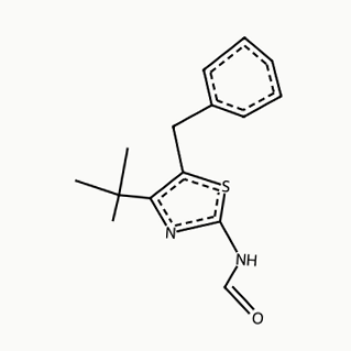 CC(C)(C)c1nc(NC=O)sc1Cc1ccccc1